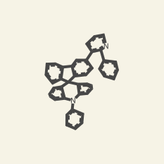 c1ccc(-c2ncccc2-c2ccc3c(c2)-c2ccccc2C32c3ccccc3N(c3ccccc3)c3ccccc32)cc1